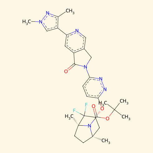 Cc1nn(C)cc1-c1cc2c(cn1)CN(c1ccc(O[C@@H]3C[C@@]4(C)CC[C@](C)(N4C(=O)OC(C)(C)C)C3(F)F)nn1)C2=O